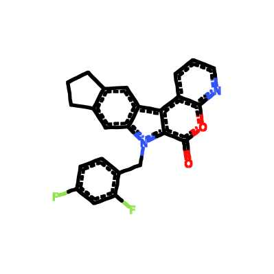 O=c1oc2ncccc2c2c3cc4c(cc3n(Cc3ccc(F)cc3F)c12)CCC4